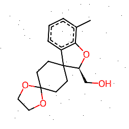 Cc1cccc2c1O[C@@H](CO)C21CCC2(CC1)OCCO2